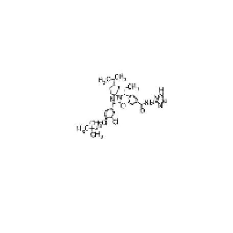 CC[C@H](c1ccc(C(=O)NCc2nn[nH]n2)cc1)N1C(=O)C(c2ccc(OCCC(C)(C)C)c(Cl)c2)=NC12CCC(C(C)C)CC2